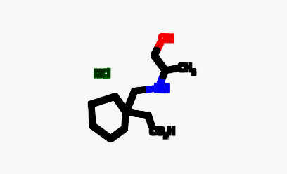 CC(CO)NCC1(CC(=O)O)CCCCC1.Cl